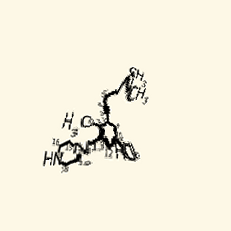 Cc1c(C#CCN(C)C)cc(Cl)cc1N1CCNCC1.Cl